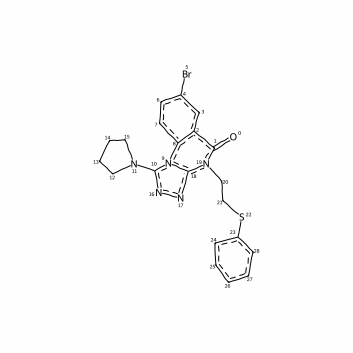 O=c1c2cc(Br)ccc2n2c(N3CCCC3)nnc2n1CCSc1ccccc1